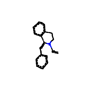 CCCCCN1CCc2ccccc2C1=Cc1ccccc1